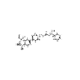 CCS(=O)(=O)c1cc(-c2ccc(CCNCC(O)c3ccccc3)cc2)ccc1C(=O)O